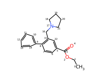 CCOC(=O)c1ccc(-c2ccccc2)c(CN2CCCC2)c1